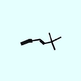 C#C/C=C/C(C)(C)C